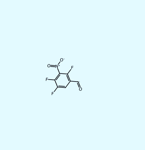 O=[C]c1cc(F)c(F)c([N+](=O)[O-])c1F